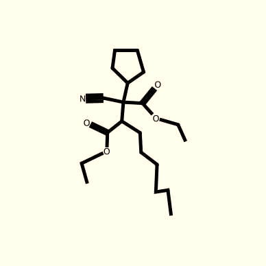 CCCCCCC(C(=O)OCC)C(C#N)(C(=O)OCC)C1CCCC1